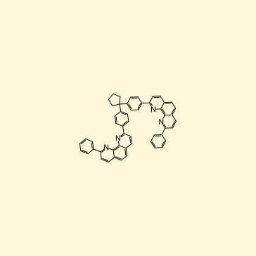 c1ccc(-c2ccc3ccc4ccc(-c5ccc(C6(c7ccc(-c8ccc9ccc%10ccc(-c%11ccccc%11)nc%10c9n8)cc7)CCCC6)cc5)nc4c3n2)cc1